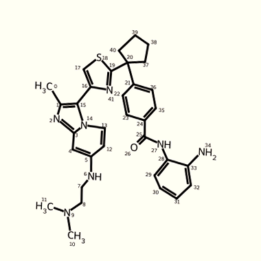 Cc1nc2cc(NCCN(C)C)ccn2c1-c1csc(C2(c3ccc(C(=O)Nc4ccccc4N)cc3)CCCC2)n1